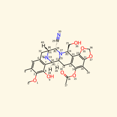 COc1c(C)cc2c(c1O)[C@@H]1[C@@H]3Cc4c(OC(C)=O)c(C)c5c(c4[C@H](CO)N3[C@@H](C#N)[C@@H](C2)N1C)OCO5